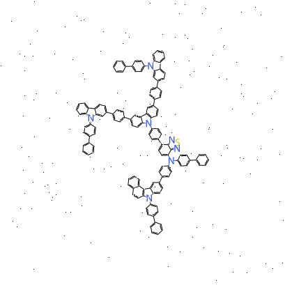 c1ccc(-c2ccc(N(c3ccc(-c4ccc5c(c4)c4c6ccccc6ccc4n5-c4ccc(-c5ccccc5)cc4)cc3)c3ccc(-c4ccc(-n5c6ccc(-c7ccc(-c8ccc9c%10ccccc%10n(-c%10ccc(-c%11ccccc%11)cc%10)c9c8)cc7)cc6c6cc(-c7ccc(-c8ccc9c%10ccccc%10n(-c%10ccc(-c%11ccccc%11)cc%10)c9c8)cc7)ccc65)cc4)c4nsnc34)cc2)cc1